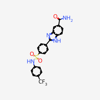 NC(=O)c1ccc2[nH]c(-c3ccc(S(=O)(=O)Nc4ccc(C(F)(F)F)cc4)cc3)nc2c1